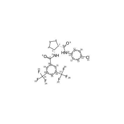 O=C(N[C@@H]1CCC[C@@H]1C(=O)Nc1ccc(Cl)cc1)c1cc(C(F)(F)F)cc(C(F)(F)F)c1